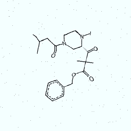 CC(C)CC(=O)N1CCN(I)[C@H](C(=O)C(C)(C)C(=O)OCc2ccccc2)C1